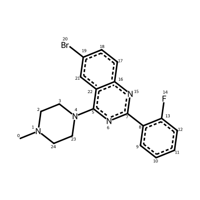 CN1CCN(c2nc(-c3ccccc3F)nc3ccc(Br)cc23)CC1